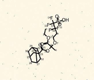 CCOC(=O)C(C)(OCCC(F)(F)C(F)(F)S(=O)(=O)O)OC(=O)C12CC3CC(CC(C3)C1)C2